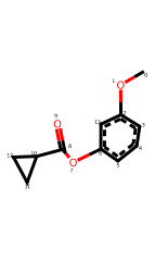 COc1cccc(OC(=O)C2CC2)c1